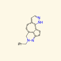 CC(C)CN1Cc2ccc3c(c4ccc(c2-4)=N1)NN=CC=3